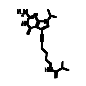 C=C1NC(N)=Nc2c1c(C#CCCCCNC(=C)C(C)C)cn2C(C)C